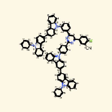 N#Cc1cc(-c2cc(-c3cccc(-n4c5ccccc5c5cc(-c6ccc7c(c6)c6ccccc6n7-c6ccccc6)ccc54)c3)nc(-c3ccc(-n4c5ccccc5c5cc(-c6ccc7c(c6)c6ccccc6n7-c6ccccc6)ccc54)cc3)n2)ccc1F